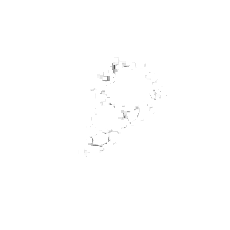 O=C1NS(=O)(=O)CCCCCS(=O)(=O)[C@H]2CC[C@@H]2CN2CCCCc3cc(Cl)ccc3COc3ccc1cc32